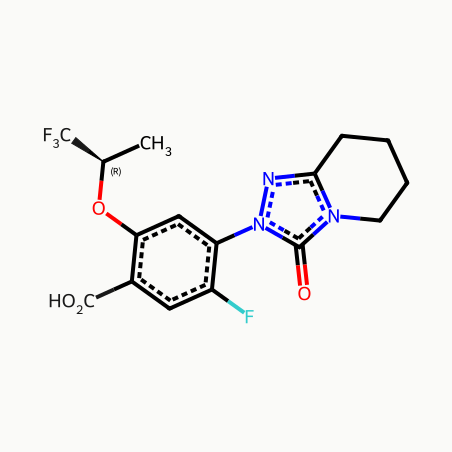 C[C@@H](Oc1cc(-n2nc3n(c2=O)CCCC3)c(F)cc1C(=O)O)C(F)(F)F